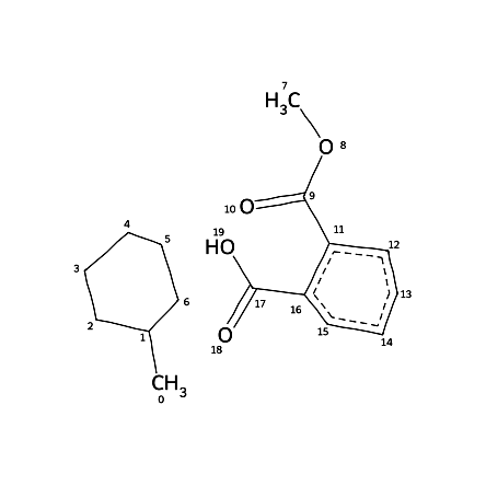 CC1CCCCC1.COC(=O)c1ccccc1C(=O)O